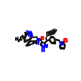 COCC(c1ccc(Cn2ccccc2=O)cc1)c1n[nH]cc1C(=O)NCc1ncc(C)cc1C#N